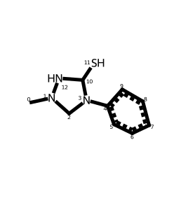 CN1CN(c2ccccc2)C(S)N1